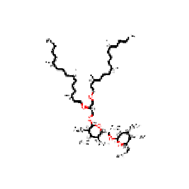 CC(=O)OC[C@H]1O[C@@H](OC[C@H]2O[C@H](OC[C@H](COCC[C@@H](C)CCC[C@@H](C)CCC[C@H](C)CCCC(C)C)OCC[C@@H](C)CCC[C@@H](C)CCC[C@H](C)CCCC(C)C)[C@H](OC(C)=O)[C@@H](OC(C)=O)[C@@H]2OC(C)=O)[C@H](OC(C)=O)[C@@H](OC(C)=O)[C@H]1OC(C)=O